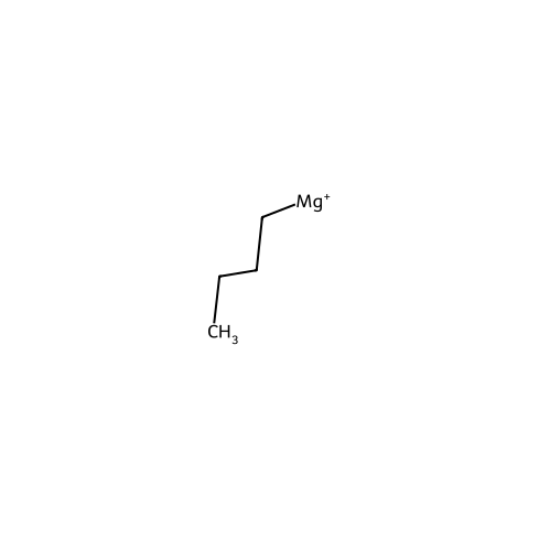 CCC[CH2][Mg+]